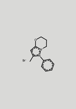 Cc1cc2[n+](n1-c1ccccc1)CCCO2.[Br-]